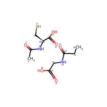 CC(=O)N[C@@H](CS)C(=O)O.CCC(=O)NCC(=O)O